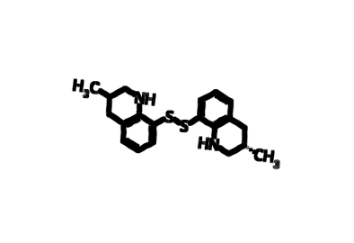 CC1CNc2c(cccc2SSc2cccc3c2NC[C@@H](C)C3)C1